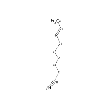 CC=CCCCCCC#N